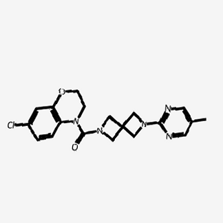 Cc1cnc(N2CC3(CN(C(=O)N4CCOc5cc(Cl)ccc54)C3)C2)nc1